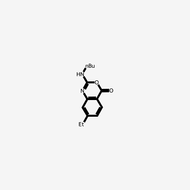 CCCCNc1nc2cc(CC)ccc2c(=O)o1